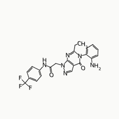 CCc1nc2c(cnn2CC(=O)Nc2ccc(C(F)(F)F)cc2)c(=O)n1-c1ccccc1N